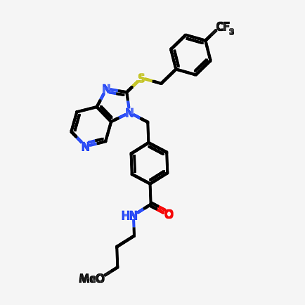 COCCCNC(=O)c1ccc(Cn2c(SCc3ccc(C(F)(F)F)cc3)nc3ccncc32)cc1